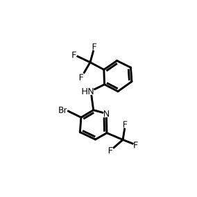 FC(F)(F)c1ccc(Br)c(Nc2ccccc2C(F)(F)F)n1